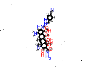 CN(C)c1cc(NC(=O)NCc2ccc(C#N)cc2)c(O)c2c1C[C@H]1C[C@H]3[C@H](N(C)C)C(O)=C(C(N)=O)C(=O)[C@@]3(O)C(O)=C1C2=O